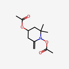 C=C1CC(OC(C)=O)CC(C)(C)N1OC(C)=O